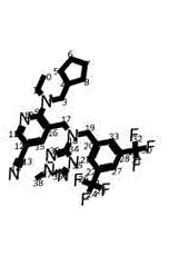 CCN(CC1CCCC1)c1ncc(C#N)cc1CN(Cc1cc(C(F)(F)F)cc(C(F)(F)F)c1)c1nnn(C)n1